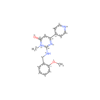 COc1ccccc1CNc1nc(-c2ccncc2)cc(=O)n1C